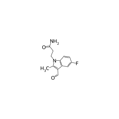 Cc1c(C=O)c2cc(F)ccc2n1CCC(N)=O